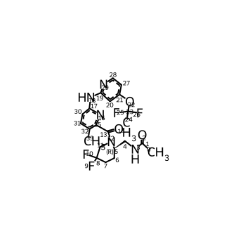 CC(=O)NC[C@H]1CCC(F)(F)CN1C(=O)c1nc(Nc2cc(OC(C)(F)F)ccn2)ccc1C